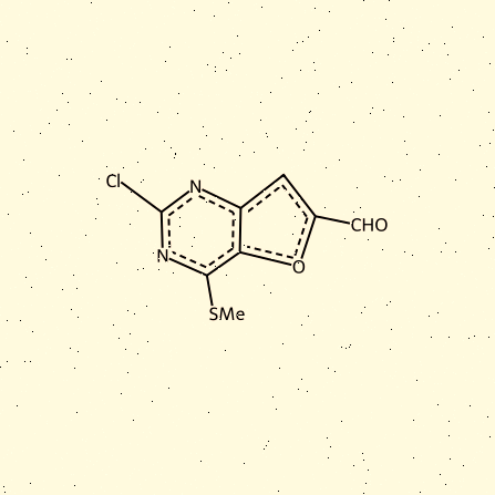 CSc1nc(Cl)nc2cc(C=O)oc12